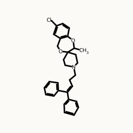 CC1Oc2ccc(Cl)cc2COC12CCN(CCC=C(c1ccccc1)c1ccccc1)CC2